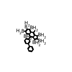 BC1=C(B)C(B)c2c1c(-c1cccc(-c3ccccc3)c1)c1c(B)c(B)c(B)c(B)c1c2C